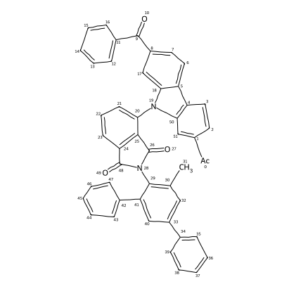 CC(=O)c1ccc2c3ccc(C(=O)c4ccccc4)cc3n(-c3cccc4c3C(=O)N(c3c(C)cc(-c5ccccc5)cc3-c3ccccc3)C4=O)c2c1